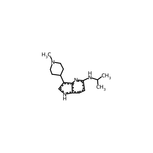 CC(C)Nc1ccc2[nH]cc(C3CCN(C)CC3)c2n1